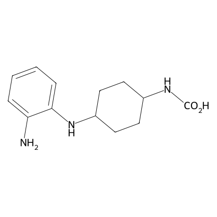 Nc1ccccc1NC1CCC(NC(=O)O)CC1